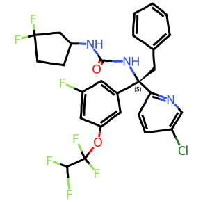 O=C(NC1CCC(F)(F)C1)N[C@@](Cc1ccccc1)(c1cc(F)cc(OC(F)(F)C(F)F)c1)c1ccc(Cl)cn1